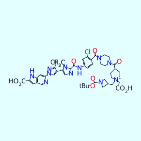 Cn1c(-c2cn(-c3cc4[nH]c(C(=O)O)cc4cn3)nc2C(F)(F)F)cnc1C(=O)Nc1ccc(C(=O)N2CCN(C(=O)C3CC[N+](CC(=O)O)(CC4CN(C(=O)OC(C)(C)C)C4)CC3)CC2)c(Cl)c1